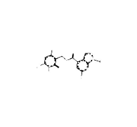 CCc1cc(C(=O)NCc2c(C)cc(C)[nH]c2=O)c2cnn(C(C)C)c2n1